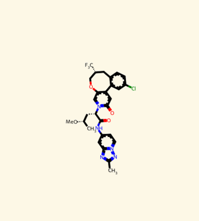 CO[C@@H](C)C[C@@H](C(=O)Nc1ccn2nc(C)nc2c1)n1cc2c(cc1=O)-c1cc(Cl)ccc1C[C@@H](C(F)(F)F)CO2